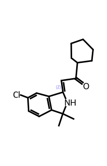 CC1(C)N/C(=C\C(=O)C2CCCCC2)c2cc(Cl)ccc21